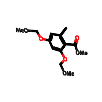 COCOc1cc(C)c(C(=O)OC)c(OCOC)c1